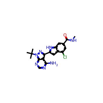 CNC(=O)c1cc(Cl)c2cc(-c3nn(C(C)(C)C)c4ncnc(N)c34)[nH]c2c1